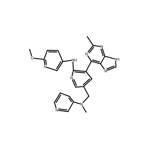 COc1ccc(Nc2ncc(CN(C)c3cccnc3)cc2-c2nc(C)nc3[nH]cnc23)cn1